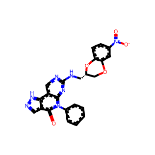 O=c1c2cn[nH]c2c2cnc(NC[C@H]3COc4cc([N+](=O)[O-])ccc4O3)nc2n1-c1ccccc1